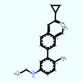 C=C(/C=c1/ccc(-c2cc(NCC)ccc2C)c/c1=C/C)C1CC1